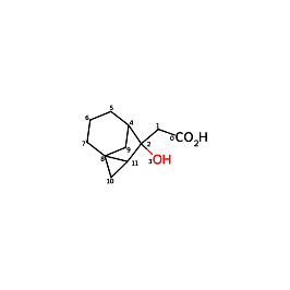 O=C(O)CC1(O)C2CCCC3(C2)CC31